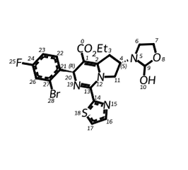 CCOC(=O)C1=C2C[C@H](N3CCOC3O)CN2C(c2nccs2)=N[C@H]1c1ccc(F)cc1Br